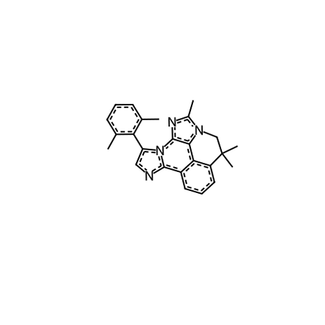 Cc1cccc(C)c1-c1cnc2c3cccc4c3c3c(nc(C)n3CC4(C)C)n12